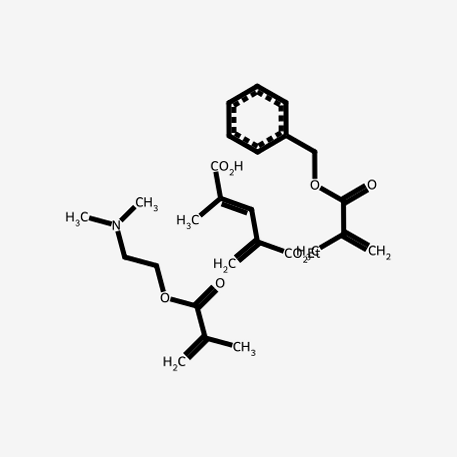 C=C(C)C(=O)OCCN(C)C.C=C(C)C(=O)OCc1ccccc1.C=C(C=C(C)C(=O)O)C(=O)OCC